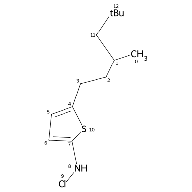 CC(CCc1ccc(NCl)s1)CC(C)(C)C